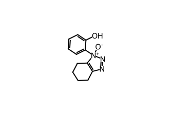 [O-][N+]1(c2ccccc2O)N=NC2=C1CCCC2